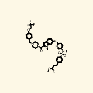 COC(=O)CCc1ccc(S(=O)(=O)Nc2ccc(Oc3ccc4cc(C(=O)N5CCN(Cc6ccc(OCC(F)(F)F)cc6)CC5)n(C)c4c3)nc2)cc1